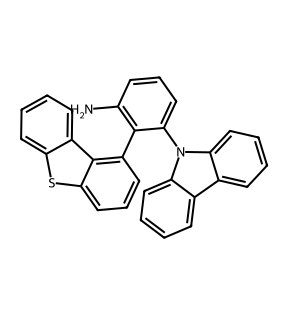 Nc1cccc(-n2c3ccccc3c3ccccc32)c1-c1cccc2sc3ccccc3c12